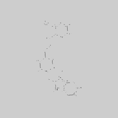 Cn1c(CN2CCC(CCCc3ccccc3C#N)CC2)nc2ccccc21